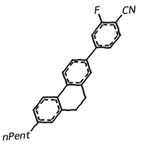 CCCCCc1ccc2c(c1)CCc1cc(-c3ccc(C#N)c(F)c3)ccc1-2